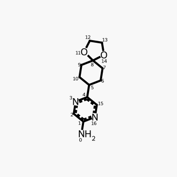 Nc1cnc(C2CCC3(CC2)OCCO3)cn1